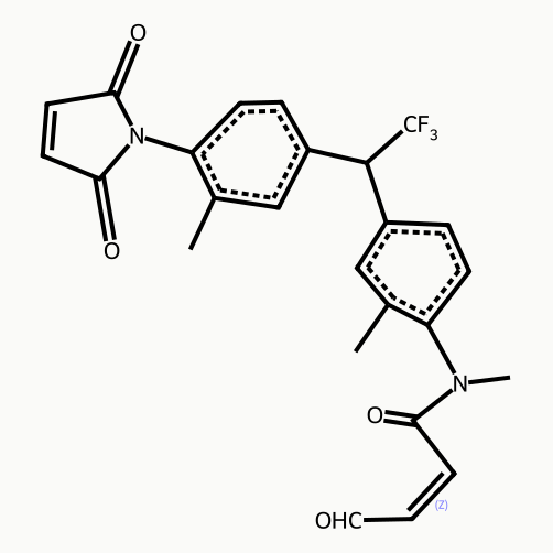 Cc1cc(C(c2ccc(N3C(=O)C=CC3=O)c(C)c2)C(F)(F)F)ccc1N(C)C(=O)/C=C\C=O